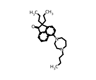 CCCCN1CCCN(c2ccc3c4c(cccc24)C(=O)C3(CCC)CCC)CC1